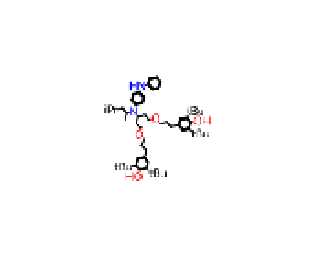 CC(C)CC(C)N(c1ccc(Nc2ccccc2)cc1)C(CCOCCCc1cc(C(C)(C)C)c(O)c(C(C)(C)C)c1)CCOCCCc1cc(C(C)(C)C)c(O)c(C(C)(C)C)c1